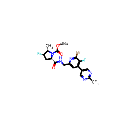 C[C@H]1[C@H](F)C[C@@H](C(=O)NCc2cc(-c3cnc(C(F)(F)F)nc3)c(F)c(Br)n2)N1C(=O)OC(C)(C)C